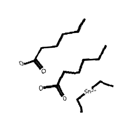 CCCCCC(=O)[O-].CCCCCC(=O)[O-].C[CH2][Sn+2][CH2]C